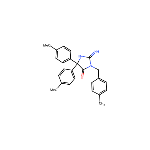 COc1ccc(C2(c3ccc(OC)cc3)NC(=N)N(Cc3ccc(C)cc3)C2=O)cc1